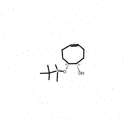 CC(C)(C)[Si](C)(C)O[C@@H]1CC/C=C\CC[C@@H]1O